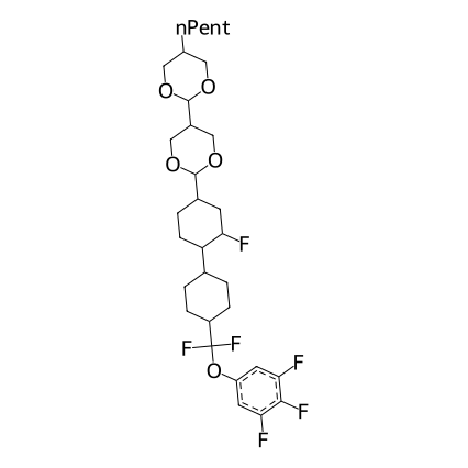 CCCCCC1COC(C2COC(C3CCC(C4CCC(C(F)(F)Oc5cc(F)c(F)c(F)c5)CC4)C(F)C3)OC2)OC1